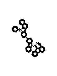 c1ccc(-n2c3ccc(-c4ccc5c(c4)c4ccccc4n5-c4ncc5cccc6c5c4-c4ccccc4-6)cc3c3ccc4ccccc4c32)cc1